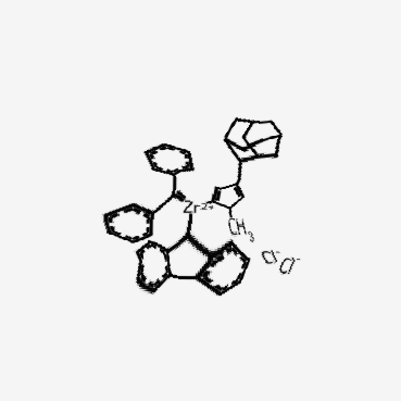 CC1C=C(C2C3CC4CC(C3)CC2C4)C=[C]1[Zr+2](=[C](c1ccccc1)c1ccccc1)[CH]1c2ccccc2-c2ccccc21.[Cl-].[Cl-]